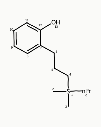 CCCS(C)(C)CCCc1ccccc1O